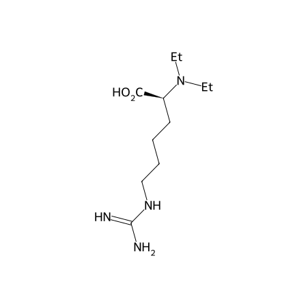 CCN(CC)[C@@H](CCCCNC(=N)N)C(=O)O